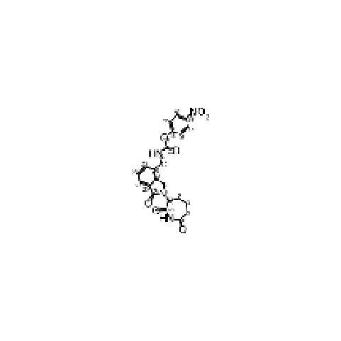 O=C1CCC[C@H](N2Cc3c(CNC(=O)Oc4ccc([N+](=O)[O-])cc4)cccc3C2=O)C(=O)N1